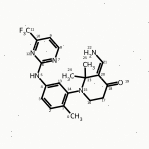 Cc1ccc(Nc2nccc(C(F)(F)F)n2)cc1N1CCC(=O)C(=CN)C1(C)C